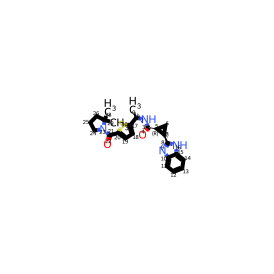 C[C@@H](NC(=O)[C@@H]1C[C@H]1c1nc2ccccc2[nH]1)c1ccc(C(=O)N2CCCC2(C)C)s1